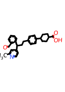 Cc1cc(C(CCc2ccc(C3CCC(C(=O)O)CC3)cc2)c2ccccc2C=O)ccn1